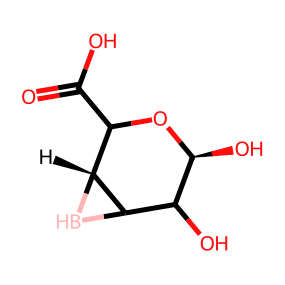 O=C(O)C1O[C@@H](O)C(O)C2B[C@H]12